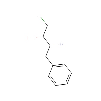 N[C@H](Cc1ccccc1)[C@H](O)CCl